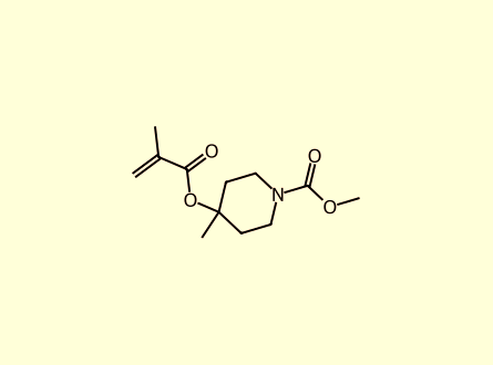 C=C(C)C(=O)OC1(C)CCN(C(=O)OC)CC1